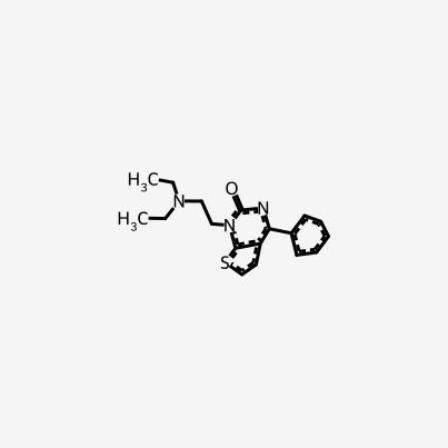 CCN(CC)CCn1c(=O)nc(-c2ccccc2)c2ccsc21